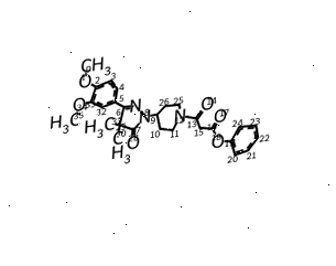 COc1ccc(C2=NN(C3CCN(C(=O)CC(=O)Oc4ccccc4)CC3)C(=O)C2(C)C)cc1OC